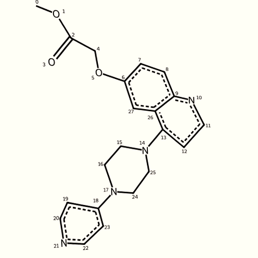 COC(=O)COc1ccc2nccc(N3CCN(c4ccncc4)CC3)c2c1